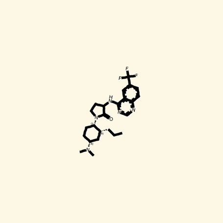 CCC[C@@H]1C[C@H](N(C)C)CC[C@@H]1N1CCC(Nc2ncnc3ccc(C(F)(F)F)cc23)C1=O